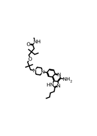 CCCCc1nc2c(N)nc3ccc(N4CCN(CC(C)(C)COCC(C)(CC)CC(=O)NC)CC4)cc3c2[nH]1